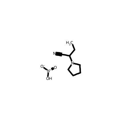 CCC(C#N)N1CCCC1.O=[N+]([O-])O